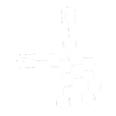 c1ccc2c(c1)ccc1c3cccc4c3n(c21)-c1c2c(cc3c1oc1ccccc13)-c1cc(C35CC6CC(CC(C6)C3)C5)cc3c5cc(C67CC8CC(CC(C8)C6)C7)ccc5n(c13)B24